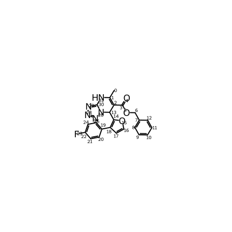 CC1=C(C(=O)OCc2ccccc2)C(c2occc2-c2ccc(F)cc2)n2nnnc2N1